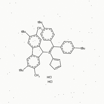 Cc1cc2c(cc1C(C)(C)C)-c1cc(C(C)(C)C)c(C)cc1[CH]2[Zr]([C]1=CC=CC1)=[C](c1ccc(C(C)(C)C)cc1)c1ccc(C(C)(C)C)cc1.Cl.Cl